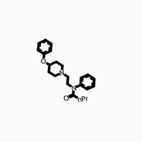 CCCC(=O)N(CCN1CCC(Oc2ccccc2)CC1)c1ccccc1